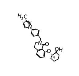 Cc1ccn(-c2ccc(CN3CCc4cccc(O[C@H]5CCCC[C@@H]5O)c4C3=O)cc2)n1